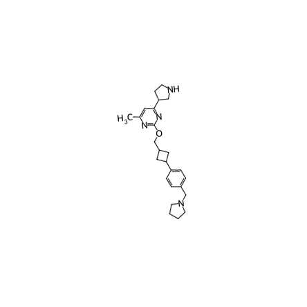 Cc1cc(C2CCNC2)nc(OCC2CC(c3ccc(CN4CCCC4)cc3)C2)n1